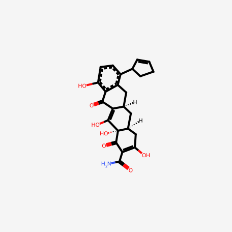 NC(=O)C1=C(O)C[C@@H]2C[C@@H]3Cc4c(C5C=CCC5)ccc(O)c4C(=O)C3=C(O)[C@]2(O)C1=O